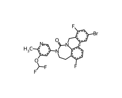 Cc1ncc(N2CCc3c(F)cccc3N(Cc3c(F)cc(Br)cc3F)C2=O)cc1OC(F)F